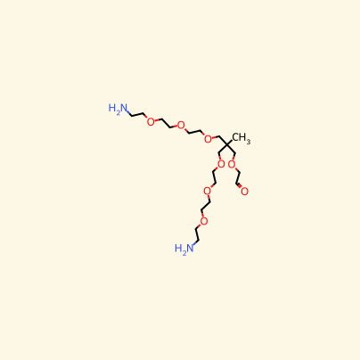 CC(COCC=O)(COCCOCCOCCN)COCCOCCOCCN